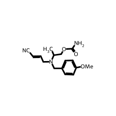 COc1ccc(CN(CC=CC#N)C(C)COC(N)=O)cc1